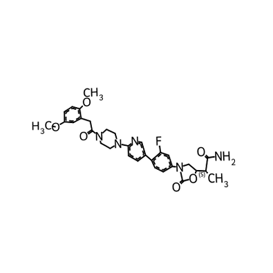 COc1ccc(OC)c(CC(=O)N2CCN(c3ccc(-c4ccc(N5CC([C@H](C)C(N)=O)OC5=O)cc4F)cn3)CC2)c1